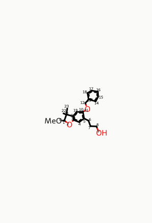 COC1Oc2cc(CCCO)c(OCc3ccccc3)cc2C1(C)C